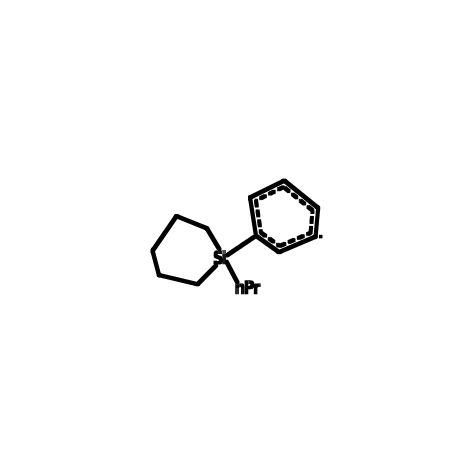 CCC[Si]1(c2c[c]ccc2)CCCCC1